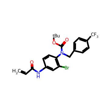 C=CC(=O)Nc1ccc(N(Cc2ccc(C(F)(F)F)cc2)C(=O)OC(C)(C)C)c(Br)c1